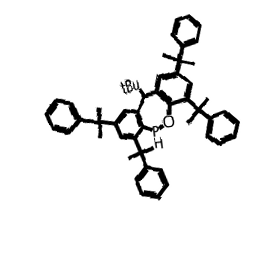 CC(C)(c1ccccc1)c1cc2c(c(C(C)(C)c3ccccc3)c1)OPc1c(cc(C(C)(C)c3ccccc3)cc1C(C)(C)c1ccccc1)C2C(C)(C)C